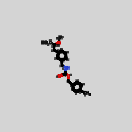 Cc1ccc(COC(=O)NCc2cccc(C[C@H](OC(C)C)C(=O)O)c2)cc1